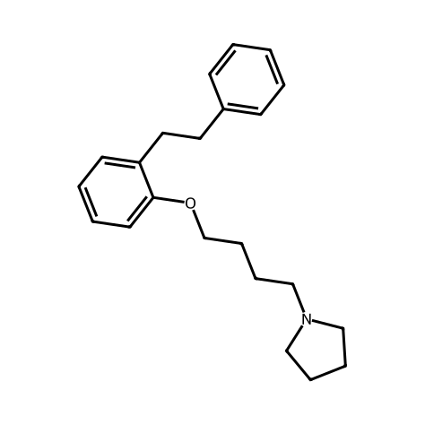 c1ccc(CCc2ccccc2OCCCCN2CCCC2)cc1